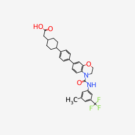 Cc1cc(NC(=O)N2CCOc3cc(-c4ccc(C5CCC(CC(=O)O)CC5)cc4)ccc32)cc(C(F)(F)F)c1